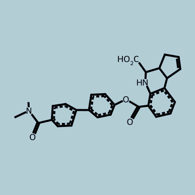 CN(C)C(=O)c1ccc(-c2ccc(OC(=O)c3cccc4c3NC(C(=O)O)C3CC=CC43)cc2)cc1